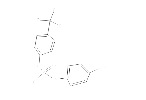 Cc1ccc(OP(=O)(O)Oc2ccc(C(F)(F)F)cc2)cc1